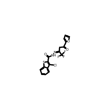 O=C(CC(=NNC(=O)c1sc2ccccc2c1Cl)C(F)(F)F)c1ccco1